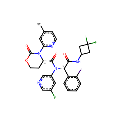 N#Cc1ccnc(N2C(=O)OCC[C@H]2C(=O)N(c2cncc(F)c2)[C@H](C(=O)NC2CC(F)(F)C2)c2ccccc2I)c1